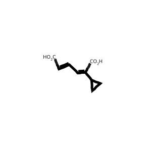 O=C(O)C=CC=C(C(=O)O)C1CC1